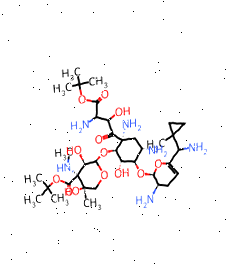 CN[C@]1(C(=O)OC(C)(C)C)[C@@H](O)[C@@H](O[C@@H]2[C@@H](O)[C@H](O[C@H]3OC(C(N)C4(C)CC4)=CC[C@H]3N)[C@@H](N)C[C@]2(N)C(=O)C(O)C(N)C(=O)OC(C)(C)C)OC[C@]1(C)O